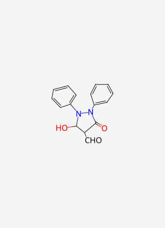 O=CC1C(=O)N(c2ccccc2)N(c2ccccc2)C1O